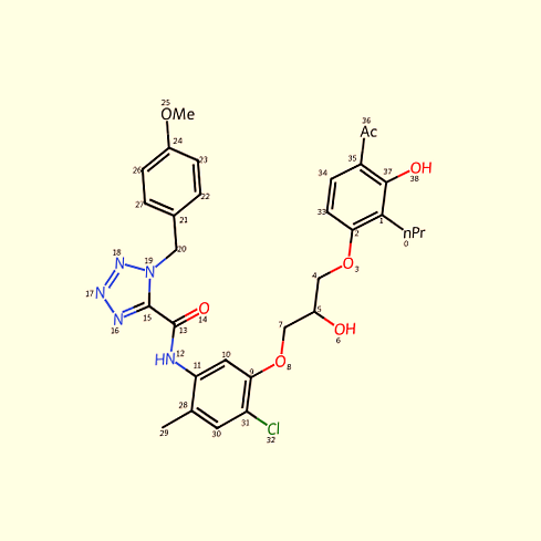 CCCc1c(OCC(O)COc2cc(NC(=O)c3nnnn3Cc3ccc(OC)cc3)c(C)cc2Cl)ccc(C(C)=O)c1O